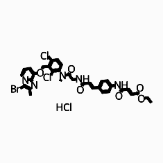 CCOC(=O)C=CC(=O)Nc1ccc(C=CC(=O)NCC(=O)N(C)c2ccc(Cl)c(COc3cccn4c(Br)c(C)nc34)c2Cl)cc1.Cl